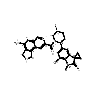 C[C@H]1CCC(c2cc(Cl)c3c(c2)C2(CC2)C(=O)N3C)N(C(=O)c2cc3c4c(c(N)nc3cn2)COC4)C1